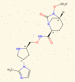 Cc1nccn1[C@@H]1CN[C@@H](CONC(=O)[C@@H]2CC[C@@H]3CN2C(=O)N3OS(=O)(=O)O)C1